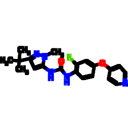 Cn1nc(C(C)(C)C)cc1NC(=O)Nc1ccc(Oc2ccncc2)cc1F